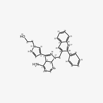 NC1=NC=NC2C1C(c1cnn(CCO)c1)=NN2Cc1cc2ccccc2nc1-c1ccccc1